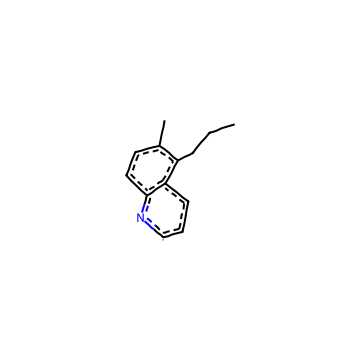 CCCc1c(C)ccc2n[c]ccc12